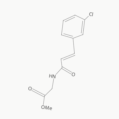 COC(=O)CNC(=O)/C=C/c1cccc(Cl)c1